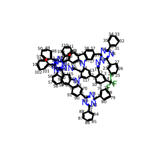 N#Cc1cc(C(F)(F)F)ccc1-c1cc(-n2c3cc(-c4nc(-c5ccccc5)nc(-c5ccccc5)n4)ccc3c3ccc(-c4nc(-c5ccccc5)nc(-c5ccccc5)n4)cc32)c(C#N)c(-n2c3cc(-c4nc(-c5ccccc5)nc(-c5ccccc5)n4)ccc3c3ccc(-c4nc(-c5ccccc5)nc(-c5ccccc5)n4)cc32)c1